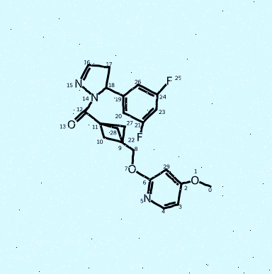 COc1ccnc(OCC23CC(C(=O)N4N=CCC4c4cc(F)cc(F)c4)(C2)C3)c1